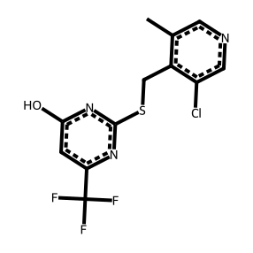 Cc1cncc(Cl)c1CSc1nc(O)cc(C(F)(F)F)n1